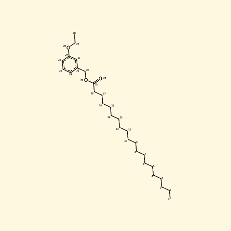 CCCCCCCCCCCCCCCCCCCC(=O)OCc1cccc(OCC)c1